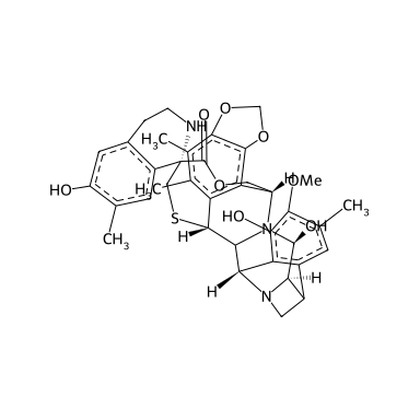 COc1c(C)cc2c(c1O)[C@H]1C3[C@@H]4SC[C@]5(NCCc6cc(O)c(C)cc65)C(=O)OC[C@@H](c5c6c(c(C)c(C)c54)OCO6)N3[C@@H](O)[C@H]3C2CN31